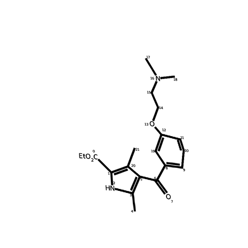 CCOC(=O)c1[nH]c(C)c(C(=O)c2cccc(OCCN(C)C)c2)c1C